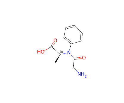 C[C@@H](C(=O)O)N(C(=O)CN)c1ccccc1